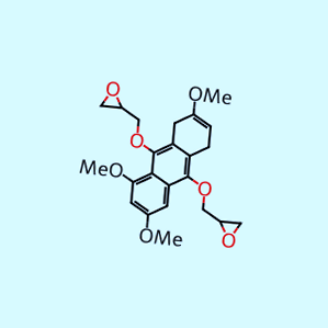 COC1=CCc2c(c(OCC3CO3)c3c(OC)cc(OC)cc3c2OCC2CO2)C1